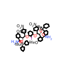 COc1ccc(C(N)=O)c([C@@H](CO[Si](c2ccccc2)(c2ccccc2)C(C)(C)C)[C@@H](Oc2cccc(O[C@@H](c3ccc([N+](=O)[O-])cc3)[C@H](CO[Si](c3ccccc3)(c3ccccc3)C(C)(C)C)c3cc(OC)ccc3C(N)=O)c2I)c2ccc([N+](=O)[O-])cc2)c1